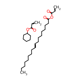 C=CC(=O)OC(=O)CCCCCCCC=CCCCCCCCC.C=CC(=O)OC1CCCCC1